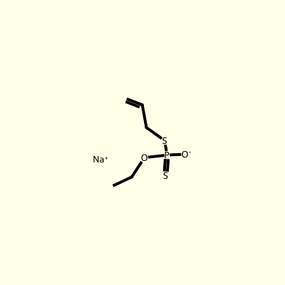 C=CCSP([O-])(=S)OCC.[Na+]